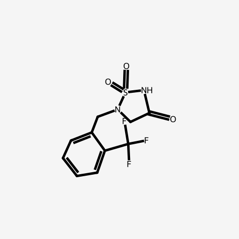 O=C1CN(Cc2ccccc2C(F)(F)F)S(=O)(=O)N1